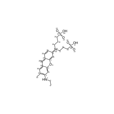 CCNc1cc2oc3cc(=[N+](CCCS(=O)(=O)O)CCCS(=O)(=O)O)ccc-3nc2cc1C